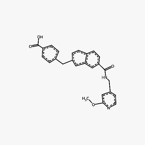 COc1cc(CNC(=O)c2ccc3ccc(Cc4ccc(C(=O)O)cc4)cc3c2)ccn1